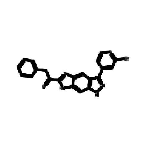 CC(C)c1cc(-c2n[nH]c3cc4[nH]c(C(=O)Cc5ccccc5)nc4cc23)ccn1